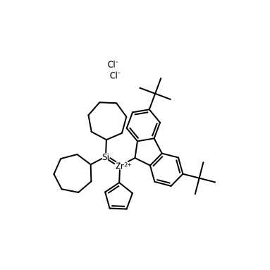 CC(C)(C)c1ccc2c(c1)-c1cc(C(C)(C)C)ccc1[CH]2[Zr+2]([C]1=CC=CC1)=[Si](C1CCCCCC1)C1CCCCCC1.[Cl-].[Cl-]